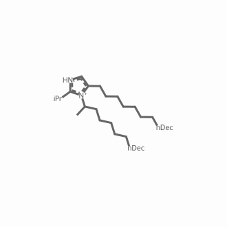 CCCCCCCCCCCCCCCCCc1c[nH]c(C(C)C)[n+]1C(C)CCCCCCCCCCCCCCC